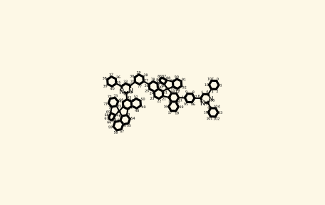 c1ccc(-c2cc(-c3ccc(-c4cc5c(c6ccccc46)-c4ccc6cc(-c7cccc(-c8cc(-c9ccccc9)nc(-c9cc%10c(c%11ccccc9%11)-c9ccc%11ccccc%11c9C%109c%10ccccc%10-c%10ccccc%109)n8)c7)ccc6c4C54c5ccccc5-c5ccccc54)cc3)nc(-c3ccccc3)n2)cc1